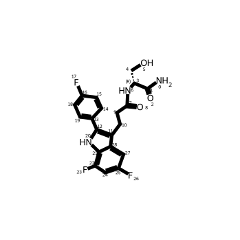 NC(=O)[C@@H](CO)NC(=O)CCc1c(-c2ccc(F)cc2)[nH]c2c(F)cc(F)cc12